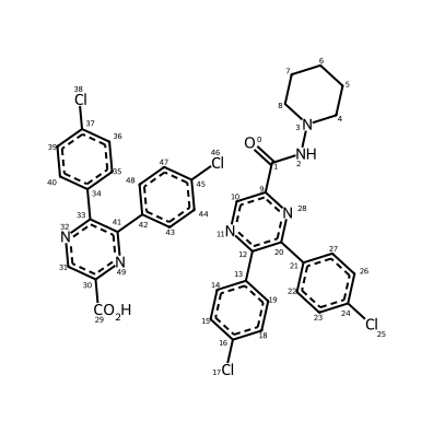 O=C(NN1CCCCC1)c1cnc(-c2ccc(Cl)cc2)c(-c2ccc(Cl)cc2)n1.O=C(O)c1cnc(-c2ccc(Cl)cc2)c(-c2ccc(Cl)cc2)n1